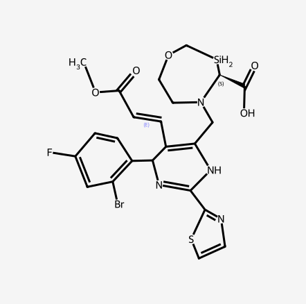 COC(=O)/C=C/C1=C(CN2CCOC[SiH2][C@H]2C(=O)O)NC(c2nccs2)=NC1c1ccc(F)cc1Br